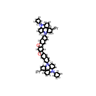 CC(C)c1ccc(N(c2ccc3cc4c(cc3c2)oc2cc3oc5cc6cc(N(c7ccc(C(C)C)cc7)c7cccc8c7c7ccccc7n8-c7ccccc7)ccc6cc5c3cc24)c2cccc3c2c2ccccc2n3-c2ccccc2)cc1